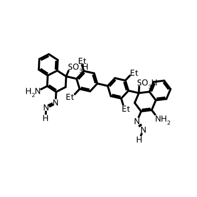 [H]/N=N/C1=C(N)c2ccccc2C(c2c(CC)cc(-c3cc(CC)c(C4(S(=O)(=O)O)CC(/N=N/[H])=C(N)c5ccccc54)c(CC)c3)cc2CC)(S(=O)(=O)O)C1